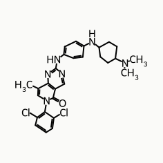 Cc1cn(-c2c(Cl)cccc2Cl)c(=O)c2cnc(Nc3ccc(NC4CCC(N(C)C)CC4)cc3)nc12